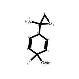 COC1(F)C=CC(C2(C)CO2)C=C1